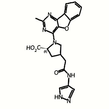 Cc1nc(N2CC(CC(=O)Nc3cn[nH]c3)C[C@@H]2C(=O)O)c2oc3ccccc3c2n1